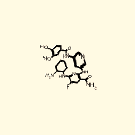 NC(=O)c1cc(F)c(N[C@@H]2CCCC[C@@H]2N)nc1Nc1cncc(NC(=O)c2ccc(O)c(O)c2)c1